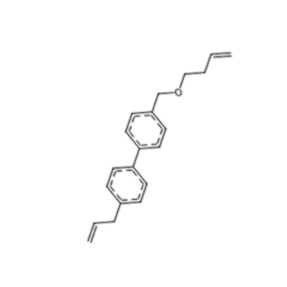 C=CCCOCc1ccc(-c2ccc(CC=C)cc2)cc1